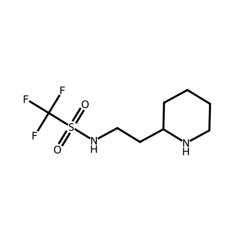 O=S(=O)(NCCC1CCCCN1)C(F)(F)F